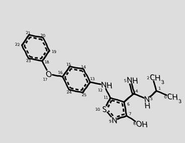 CC(C)NC(=N)c1c(O)nsc1Nc1ccc(Oc2ccccc2)cc1